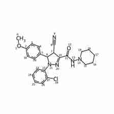 COc1ccc(C2C(C#N)C(C(=O)NN3CCCCC3)=NN2c2ccccc2Cl)cc1